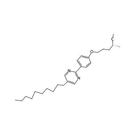 CCCCCCCCCCc1cnc(-c2ccc(OCCC[C@@H](C)CC)cc2)nc1